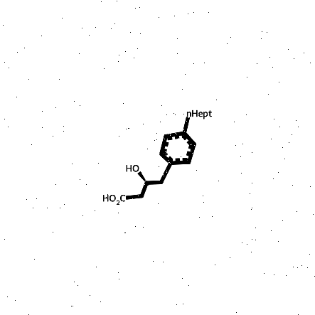 CCCCCCCc1ccc(C[C@H](O)CC(=O)O)cc1